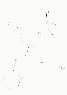 CO[C@@H]([C@@H]1C[C@@H]2C[C@@H]2N1)[C@@H](C)C(=O)N[C@@H](Cc1ccccc1F)C(=O)OC(C)(C)C